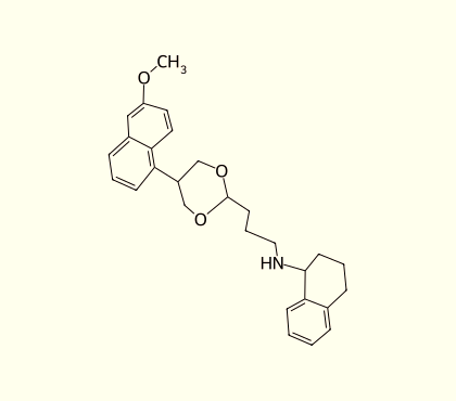 COc1ccc2c(C3COC(CCCNC4CCCc5ccccc54)OC3)cccc2c1